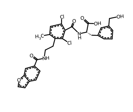 Cc1cc(Cl)c(C(=O)N[C@@H](Cc2cccc(CO)c2)C(=O)O)c(Cl)c1CCNC(=O)c1ccc2ccoc2c1